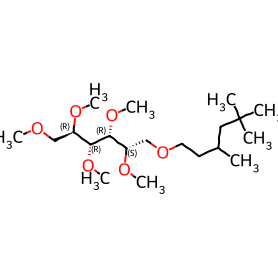 COC[C@@H](OC)[C@@H](OC)[C@H](OC)[C@H](COCCC(C)CC(C)(C)C)OC